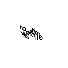 Cn1cnnc1-c1cc(F)ccc1-c1cc(C2CC2)nc(-n2cnc3cc(CC4COC4)[nH]c3c2=O)c1